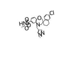 CC(=O)NS(=O)(=O)c1ccc2c(c1)N(Cc1cnn(C)c1)CC1(CCCc3cc(Cl)ccc31)CO2